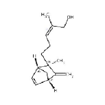 C=C1[C@@H]2C=C[C@@H](C2)[C@@]1(C)CC/C=C(/C)CO